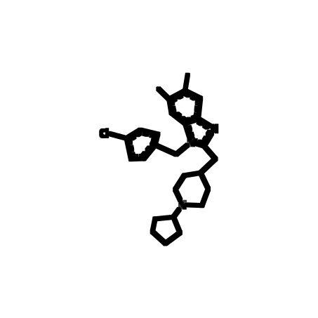 Cc1cc2nc(CC3CCN(C4CCCC4)CC3)n(Cc3ccc(Cl)cc3)c2cc1C